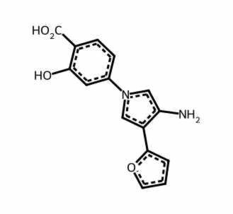 Nc1cn(-c2ccc(C(=O)O)c(O)c2)cc1-c1ccco1